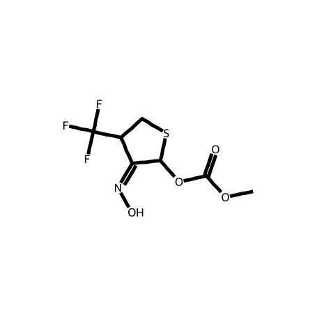 COC(=O)OC1SCC(C(F)(F)F)C1=NO